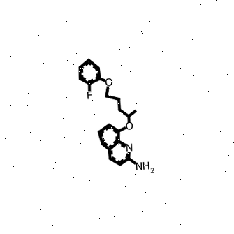 CC(CCCOc1ccccc1F)Oc1cccc2ccc(N)nc12